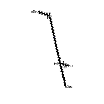 CCCCCCCCCCCCCCCCCCCCCCCCCC(C(=O)OCC(O)CO)C(O)CCCCCCCCCCCCCCCCC/C=C/CCCCCCCCCCCCC(=O)OC(C)CCCCCCCCCCCCCCCCCC